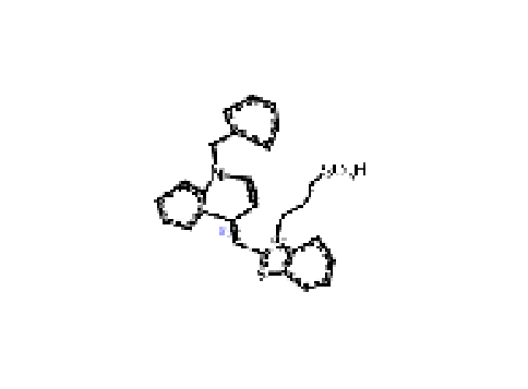 O=S(=O)(O)CCC[n+]1c(/C=C2\C=CN(Cc3ccccc3)c3ccccc32)sc2ccccc21